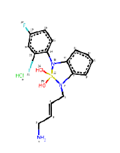 Cl.NC/C=C/CN1c2ccccc2N(c2ccc(F)cc2F)S1(O)O